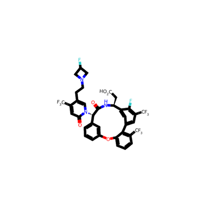 O=C(O)C[C@@H]1NC(=O)[C@@H](n2cc(CCN3CC(F)C3)c(C(F)(F)F)cc2=O)c2cccc(c2)Oc2cccc(C(F)(F)F)c2-c2cc1c(F)c(C(F)(F)F)c2